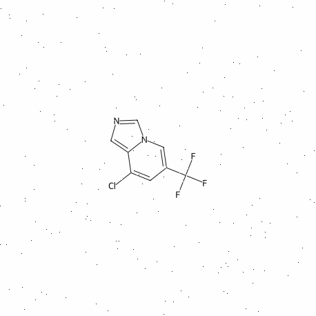 FC(F)(F)c1cc(Cl)c2cncn2c1